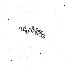 O=C(O)Nc1cc(Oc2cc(F)c(NC(=O)N3CCN(C4CCOCC4)C3=O)cc2Cl)ccn1